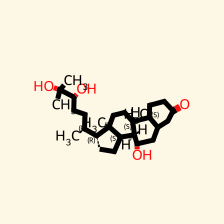 C[C@H](CCC(O)C(C)(C)O)[C@H]1CC[C@H]2[C@@H]3C(O)CC4CC(=O)CC[C@]4(C)[C@H]3CC[C@]12C